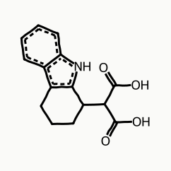 O=C(O)C(C(=O)O)C1CCCc2c1[nH]c1ccccc21